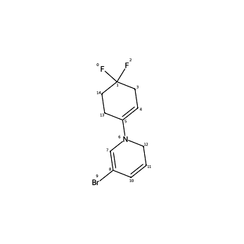 FC1(F)CC=C(N2C=C(Br)C=CC2)CC1